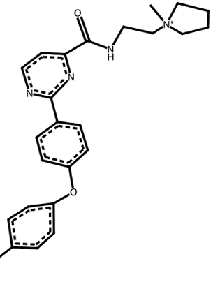 C[N+]1(CCNC(=O)c2ccnc(-c3ccc(Oc4ccc(F)cc4)cc3)n2)CCCC1